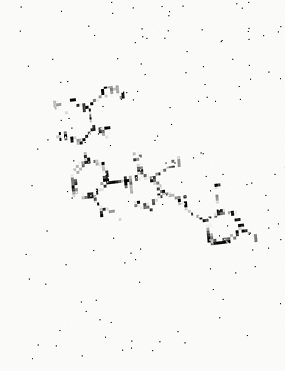 Cc1ccc(C(=O)C(=O)N(C)C)cc1-n1cnc(OCc2ccc(F)cc2F)c(Cl)c1=O